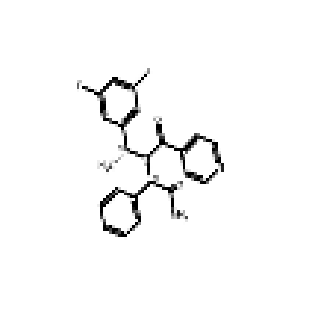 C[C@H](c1cc(F)cc(F)c1)N(C(=O)c1ccncc1)[C@@H](C(N)=O)c1ccccc1